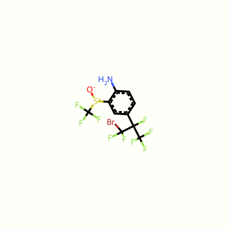 Nc1ccc(C(F)(C(F)(F)F)C(F)(F)Br)cc1[S+]([O-])C(F)(F)F